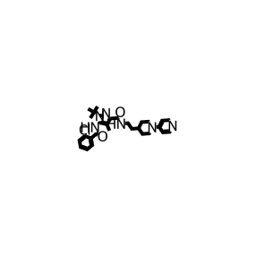 Cc1c(C(=O)NCCC2CCN(c3ccncc3)CC2)nn(C(C)(C)C)c1NC(=O)c1ccccc1Cl